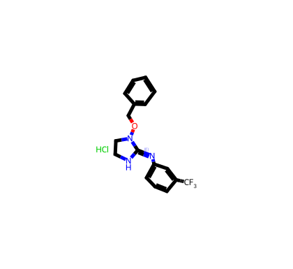 Cl.FC(F)(F)c1cccc(/N=C2\NCCN2OCc2ccccc2)c1